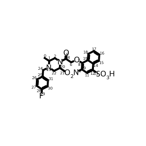 CC1CN(C(=O)COc2c([N+](=O)[O-])cc(S(=O)(=O)O)c3ccccc23)C(C)CN1Cc1ccc(F)cc1